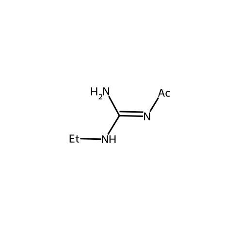 CCN/C(N)=N/C(C)=O